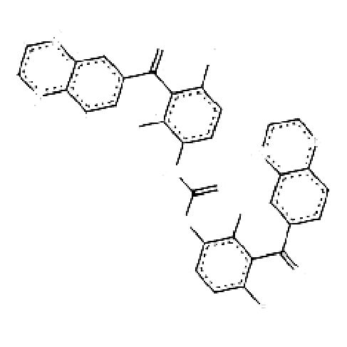 O=C(Oc1ccc(F)c(C(=O)c2ccc3nccnc3c2)c1F)Oc1ccc(F)c(C(=O)c2ccc3nccnc3c2)c1F